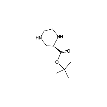 CC(C)(C)OC(=O)[C@H]1CNCCN1